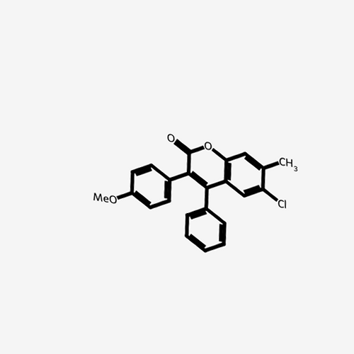 COc1ccc(-c2c(-c3ccccc3)c3cc(Cl)c(C)cc3oc2=O)cc1